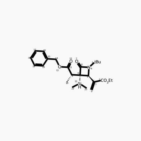 C=C(C(=O)OCC)[C@@H]1N(C(C)(C)C)C(=O)[C@@]1([C@H](C)C(=O)OCc1ccccc1)[SiH](C)C